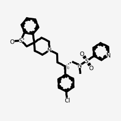 CN(C[C@@H](CCN1CCC2(CC1)C[S+]([O-])c1ccccc12)c1ccc(Cl)cc1)S(=O)(=O)c1cccnc1